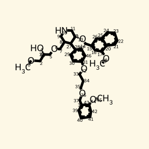 COC[C@@H](O)COCC1CNC[C@H](OCc2cc(OC)c3ccccc3c2)C1c1ccc(OCCCOCc2ccccc2OC)cc1